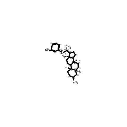 C[C@H]1CC[C@@H]2C3CC[C@@]4(C)C(CCC4[C@H](C)Nc4cccc(C#N)c4)[C@@H]3CC[C@@H]2C1